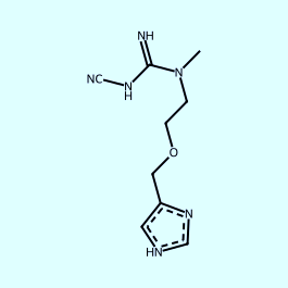 CN(CCOCc1c[nH]cn1)C(=N)NC#N